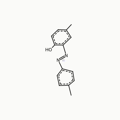 Cc1ccc(/N=N/c2cc(C)ccc2O)cc1